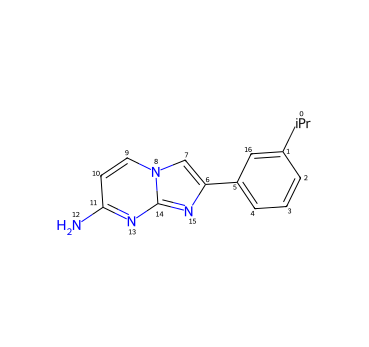 CC(C)c1cccc(-c2cn3ccc(N)nc3n2)c1